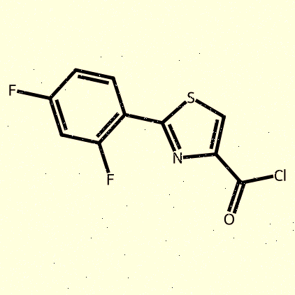 O=C(Cl)c1csc(-c2ccc(F)cc2F)n1